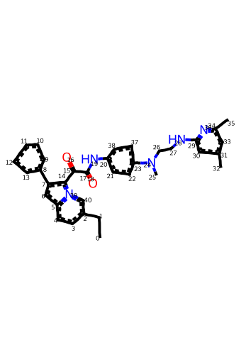 CCc1ccc2cc(-c3ccccc3)c(C(=O)C(=O)Nc3ccc(N(C)CCNc4cc(C)cc(C)n4)cc3)n2c1